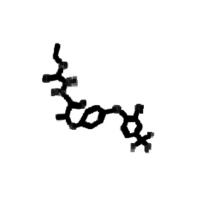 CCOC(=O)NNC(=O)C(C)Oc1ccc(Oc2ccc(C(F)(F)F)cc2Cl)cc1